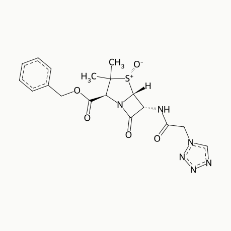 CC1(C)[C@H](C(=O)OCc2ccccc2)N2C(=O)[C@@H](NC(=O)Cn3cnnn3)[C@H]2[S@@+]1[O-]